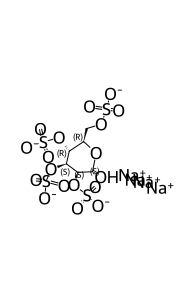 O=S(=O)([O-])OC[C@H]1O[C@H](O)[C@@H](OS(=O)(=O)[O-])[C@@H](OS(=O)(=O)[O-])[C@@H]1OS(=O)(=O)[O-].[Na+].[Na+].[Na+].[Na+]